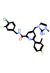 Cc1cc(F)ccc1-c1cc(Cn2ccn(C)c2=N)cc(C(=O)NCc2ccc(Cl)c(F)c2)n1